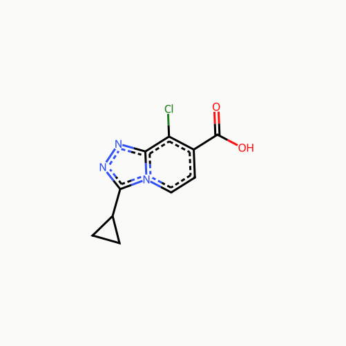 O=C(O)c1ccn2c(C3CC3)nnc2c1Cl